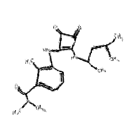 Cc1c(Nc2c(NC(C)CC(C)C)c(=O)c2=O)cccc1C(=O)N(C)C